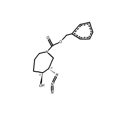 [N-]=[N+]=N[C@H]1CN(C(=O)OCc2ccccc2)CCC[C@@H]1O